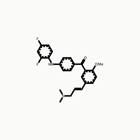 COc1ccc(C=CCN(C)C)cc1C(=O)c1ccc(Nc2ccc(F)cc2F)cc1